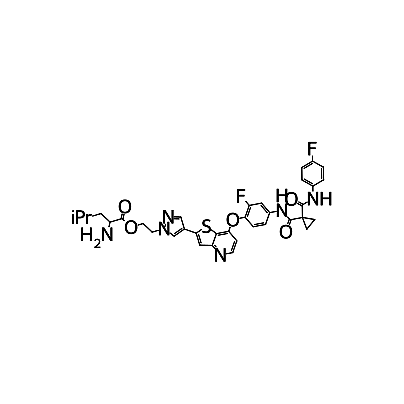 CC(C)CC(N)C(=O)OCCn1cc(-c2cc3nccc(Oc4ccc(NC(=O)C5(C(=O)Nc6ccc(F)cc6)CC5)cc4F)c3s2)cn1